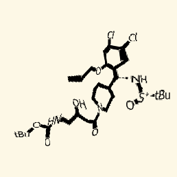 C=CCOc1cc(Cl)c(Cl)cc1[C@H](N[S@@+]([O-])C(C)(C)C)C1CCN(C(=O)C(O)CNC(=O)OC(C)(C)C)CC1